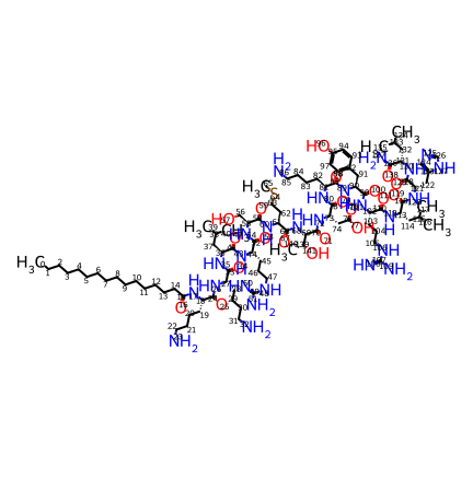 CCCCCCCCCCCCCCCC(=O)N[C@@H](CCCCN)C(=O)N[C@@H](CCCCN)C(=O)N[C@@H](CC(C)C)C(=O)N[C@@H](CCCNC(=N)N)C(=O)N[C@@H](CO)C(=O)N[C@@H](CCSC)C(=O)N[C@H](C(=O)N[C@@H](CC(=O)O)C(=O)N[C@@H](CCCCN)C(=O)N[C@@H](Cc1ccc(O)cc1)C(=O)N[C@@H](CCCNC(=N)N)C(=O)N[C@@H](CC(C)C)C(=O)N[C@@H](Cc1cnc[nH]1)C(=O)N[C@@H](CC(C)C)C(N)=O)[C@@H](C)O